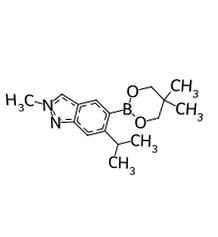 CC(C)c1cc2nn(C)cc2cc1B1OCC(C)(C)CO1